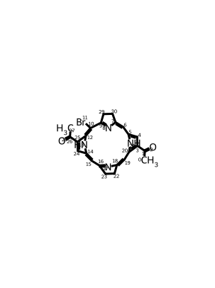 CC(=O)c1cc2cc3nc(c(Br)c4[nH]c(cc5nc(cc1[nH]2)CC5)cc4C(C)=O)CC3